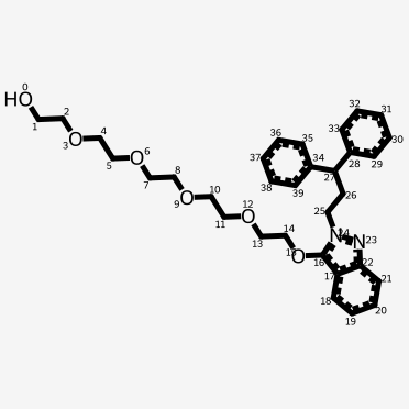 OCCOCCOCCOCCOCCOc1c2ccccc2nn1CCC(c1ccccc1)c1ccccc1